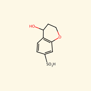 O=S(=O)(O)c1ccc2c(c1)OCCC2O